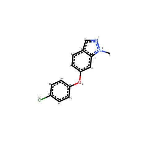 Cn1n[c]c2ccc(Oc3ccc(Cl)cc3)cc21